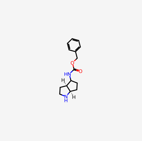 O=C(NC1CC[C@H]2NCC[C@@H]12)OCc1ccccc1